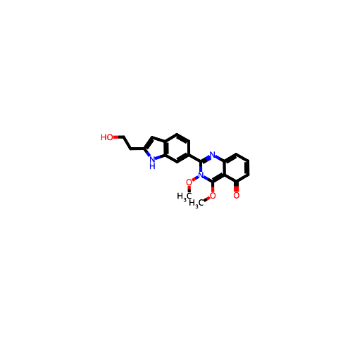 COc1c2c(=O)cccc-2nc(-c2ccc3cc(CCO)[nH]c3c2)n1OC